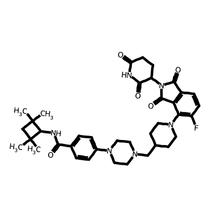 CC1(C)CC(C)(C)C1NC(=O)c1ccc(N2CCN(CC3CCN(c4c(F)ccc5c4C(=O)N(C4CCC(=O)NC4=O)C5=O)CC3)CC2)cc1